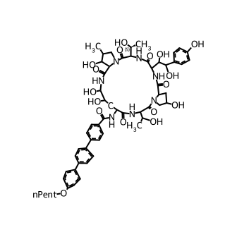 CCCCCOc1ccc(-c2ccc(-c3ccc(C(=O)NC4CC(O)C(O)NC(=O)C5C(O)C(C)CN5C(=O)C([C@H](C)O)NC(=O)C(C(O)C(O)c5ccc(O)cc5)NC(=O)C5CC(O)CN5C(=O)C(C(C)O)NC4=O)cc3)cc2)cc1